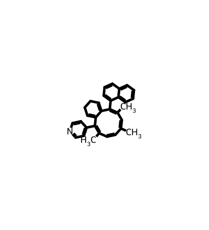 Cc1ccc(C)c(-c2ccncc2)c2c(c(-c3cccc4ccccc34)c(C)c1)=CCCC=2